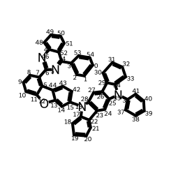 c1ccc(-c2nc(-c3cccc4oc5cc(-n6c7ccccc7c7cc8c(cc76)c6ccccc6n8-c6ccccc6)ccc5c34)nc3ccccc23)cc1